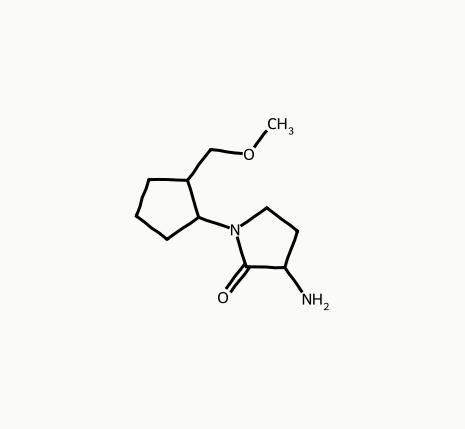 COCC1CCCC1N1CCC(N)C1=O